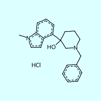 Cl.Cn1ccc2c(C3(O)CCCN(Cc4ccccc4)C3)cccc21